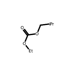 CCOC(=O)O[CH]C(C)C